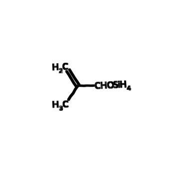 C=C(C)C=O.[SiH4]